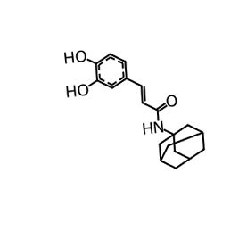 O=C(C=Cc1ccc(O)c(O)c1)NC12CC3CC(CC(C3)C1)C2